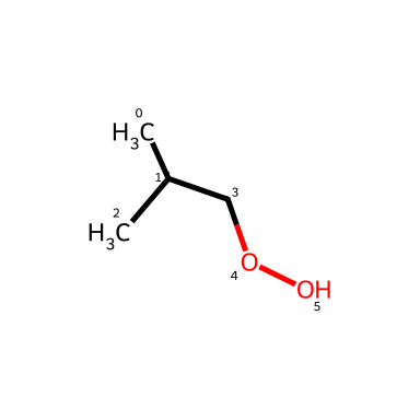 C[C](C)COO